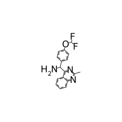 Cc1nc(C(N)c2ccc(OC(F)F)cc2)c2ccccc2n1